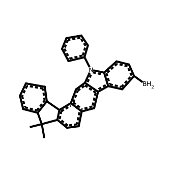 Bc1ccc2c(c1)c1cc3ccc4c(c3cc1n2-c1ccccc1)-c1ccccc1C4(C)C